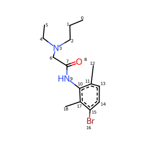 CCCN(CC)CC(=O)Nc1c(C)ccc(Br)c1C